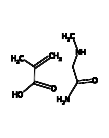 C=C(C)C(=O)O.CNCC(N)=O